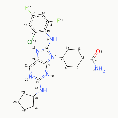 NC(=O)C1CCC(n2c(Nc3c(F)cc(F)cc3Cl)nc3cnc(NC4CCCC4)nc32)CC1